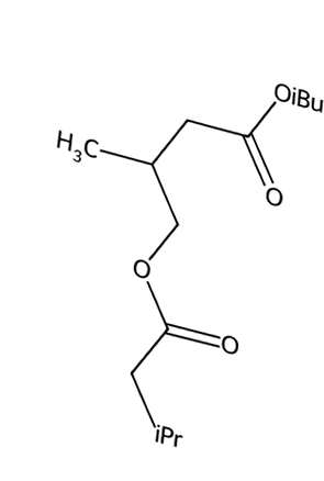 CC(C)COC(=O)CC(C)COC(=O)CC(C)C